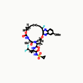 COc1ccc2nc3c(nc2c1)O[C@H]1CN(C(=O)[C@H](C(C)(C)C)NC(=O)O[C@@H]2C[C@H]2CCCCC3F)[C@H](C(=O)N[C@]2(C(=O)NS(=O)(=O)C3CC3)C[C@H]2C(F)F)[C@@H]1C